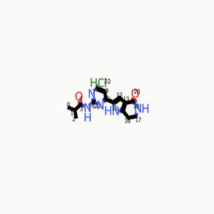 CC(C)C(=O)Nc1nccc(-c2cc3c([nH]2)CCNC3=O)n1.Cl